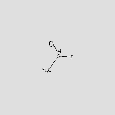 C[SH](F)Cl